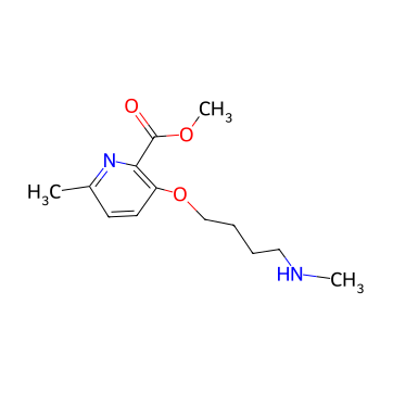 CNCCCCOc1ccc(C)nc1C(=O)OC